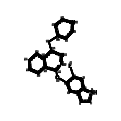 Fc1cc2[nH]ccc2cc1Oc1nnc(Cc2ccncc2)c2ccccc12